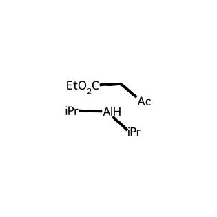 CCOC(=O)CC(C)=O.C[CH](C)[AlH][CH](C)C